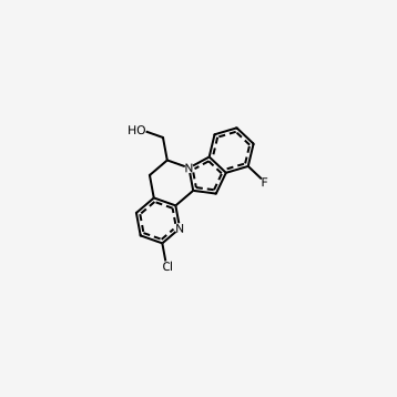 OCC1Cc2ccc(Cl)nc2-c2cc3c(F)cccc3n21